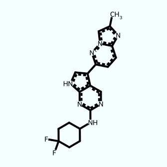 Cc1cn2nc(-c3c[nH]c4nc(NC5CCC(F)(F)CC5)ncc34)ccc2n1